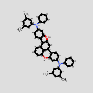 Cc1cc(C)cc(N(c2ccccc2)c2ccc3c(c2)Oc2cccc4c2c-3cc2oc3cc(N(c5ccccc5)c5cc(C)cc(C)c5)ccc3c24)c1